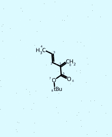 C=C(C=CC)C(=O)OC(C)(C)C